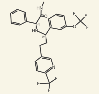 CNC(=O)[C@@H](N[C@H](CCc1ccc(C(F)(F)F)nc1)c1cccc(OC(F)(F)F)c1)c1ccccc1